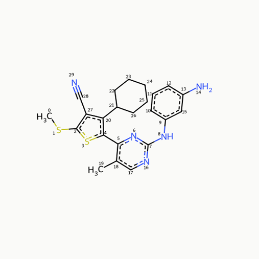 CSc1sc(-c2nc(Nc3cccc(N)c3)ncc2C)c(C2CCCCC2)c1C#N